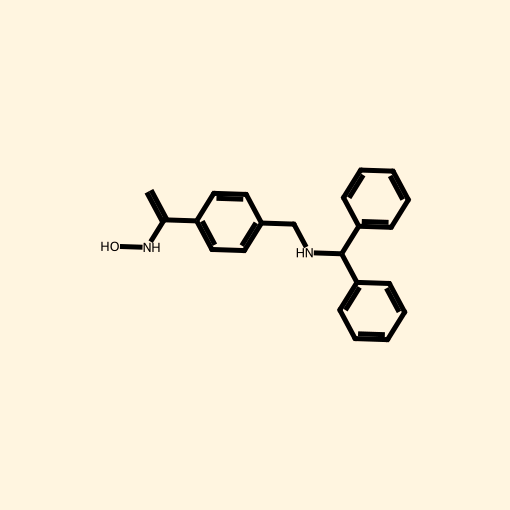 C=C(NO)c1ccc(CNC(c2ccccc2)c2ccccc2)cc1